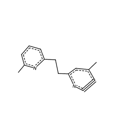 Cc1c#cnc(CCc2cccc(C)n2)c1